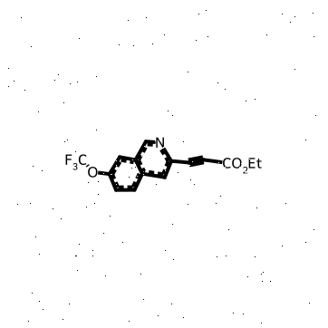 CCOC(=O)C#Cc1cc2ccc(OC(F)(F)F)cc2cn1